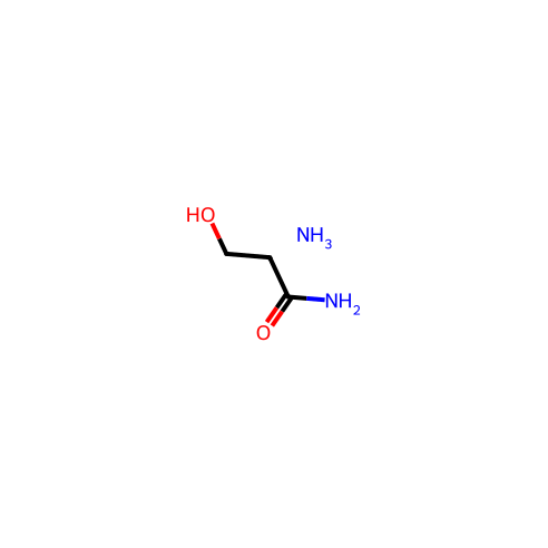 N.NC(=O)CCO